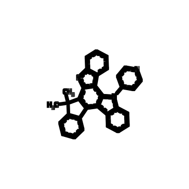 CC1(C)c2ccccc2-c2c1c1sc3ccccc3c1c1c2c2ccccc2n1-c1ccncc1